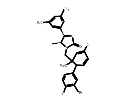 COC1(CN2C(=O)O[C@H](c3cc(C(F)(F)F)cc(C(F)(F)F)c3)[C@@H]2C)C=C(Cl)C=CC1c1ccc(F)c(C(C)C)c1